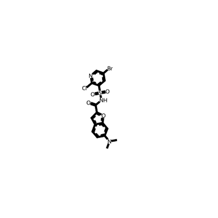 CN(C)c1ccc2cc(C(=O)NS(=O)(=O)c3cc(Br)cnc3Cl)oc2c1